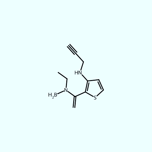 BN(CC)C(=C)c1sccc1NCC#C